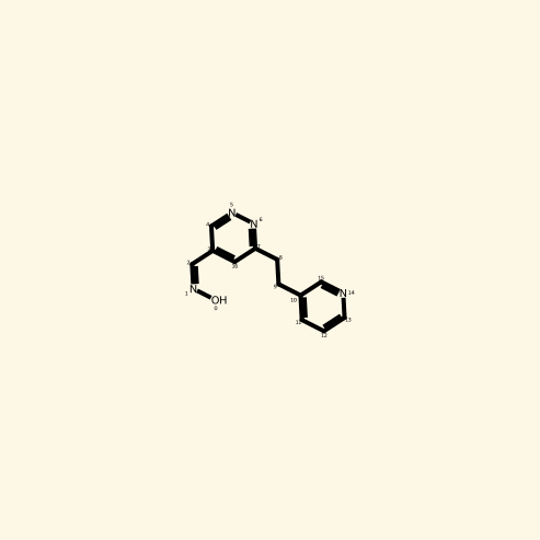 O/N=C\c1cnnc(CCc2cccnc2)c1